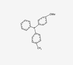 COc1ccc(P(c2ccccc2)c2ccc(C)cc2)cc1